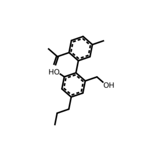 C=C(C)c1ccc(C)cc1-c1c(O)cc(CCC)cc1CO